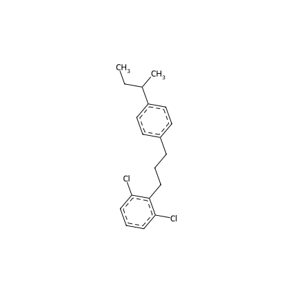 CCC(C)c1ccc(CCCc2c(Cl)cccc2Cl)cc1